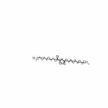 CCOCCOCCOC(=O)C(O)CC(=S)OCCOCCOCC